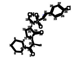 C[C@@H](C(=O)N1CCCCC1)N1CC[C@H](N(CC#N)S(=O)(=O)/C=C/c2ccc(Cl)cc2)C1=O